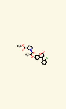 COC(=O)C1CCCN(C(=O)C(C)Oc2ccc3c(-c4ccccc4Cl)cc(=O)oc3c2)C1